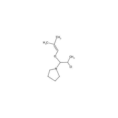 CC(C)=COC(C(C)Cl)N1CCCC1